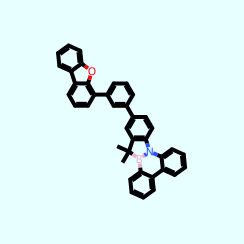 CC1(C)B2c3ccccc3-c3ccccc3N2c2ccc(-c3cccc(-c4cccc5c4oc4ccccc45)c3)cc21